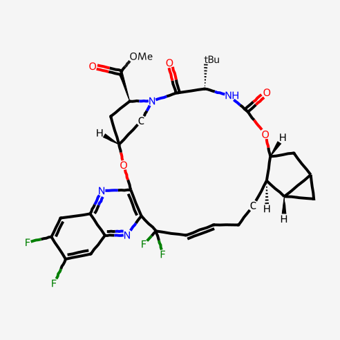 COC(=O)[C@@H]1C[C@@H]2CN1C(=O)[C@H](C(C)(C)C)NC(=O)O[C@@H]1CC3C[C@@H]3[C@H]1CC/C=C/C(F)(F)c1nc3cc(F)c(F)cc3nc1O2